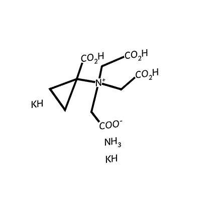 N.O=C([O-])C[N+](CC(=O)O)(CC(=O)O)C1(C(=O)O)CC1.[KH].[KH]